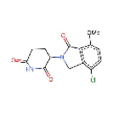 COc1ccc(Cl)c2c1C(=O)N(C1CCC(=O)NC1=O)C2